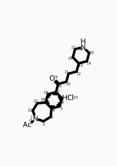 CC(=O)N1CCc2ccc(C(=O)CCCC3CCNCC3)cc2CC1.Cl